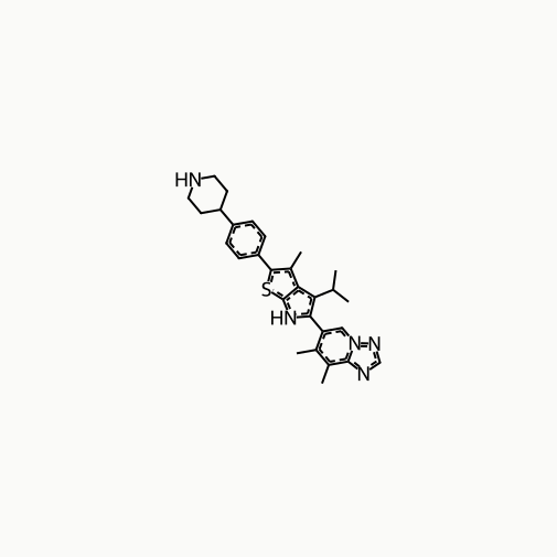 Cc1c(-c2[nH]c3sc(-c4ccc(C5CCNCC5)cc4)c(C)c3c2C(C)C)cn2ncnc2c1C